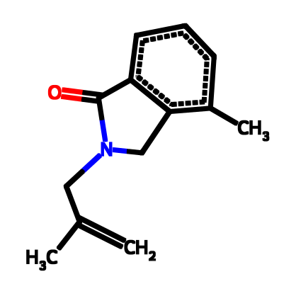 C=C(C)CN1Cc2c(C)cccc2C1=O